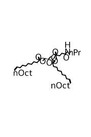 CCCCCCCC/C=C\CCCCCCCC(=O)OC[C@@H](COC(=O)CCC(=O)NCCC)OC(=O)CCCCCCC/C=C\CCCCCCCC